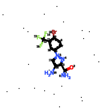 NC(=O)c1nn(-c2ccc(Br)c(C(F)(F)F)c2)cc1N